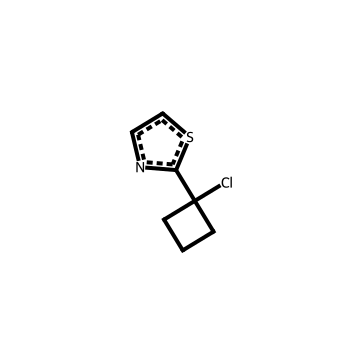 ClC1(c2nccs2)CCC1